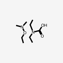 CCN(CC)C(=O)O.CCON(C)C